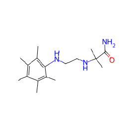 Cc1c(C)c(C)c(NCCNC(C)(C)C(N)=O)c(C)c1C